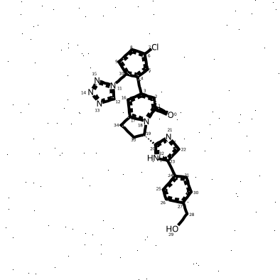 O=c1cc(-c2cc(Cl)ccc2-n2cnnn2)cc2n1[C@H](c1ncc(-c3ccc(CO)cc3)[nH]1)CC2